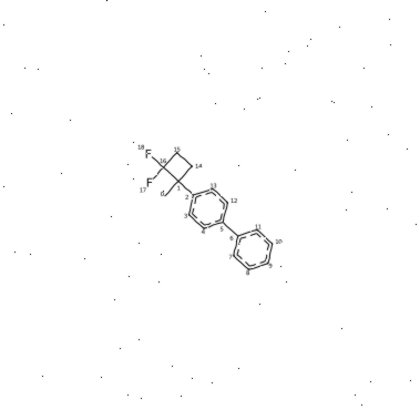 CC1(c2ccc(-c3ccccc3)cc2)CCC1(F)F